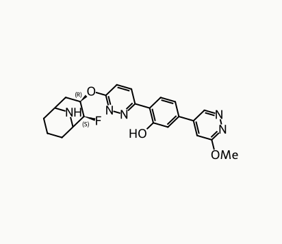 COc1cc(-c2ccc(-c3ccc(O[C@@H]4CC5CCCC(N5)[C@@H]4F)nn3)c(O)c2)cnn1